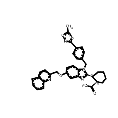 Cc1nc(-c2ccc(Cn3c([C@H]4CCCC[C@H]4C(=O)O)nc4cc(OCc5ccc6ccccc6n5)ccc43)cc2)no1